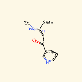 CCN/C(=C\C(=O)c1cccnc1)SC